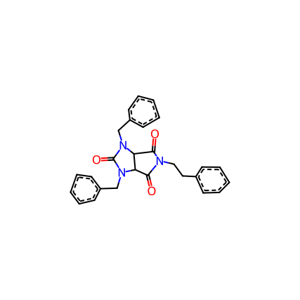 O=C1C2C(C(=O)N1CCc1ccccc1)N(Cc1ccccc1)C(=O)N2Cc1ccccc1